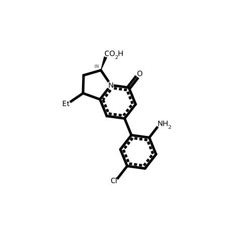 CCC1C[C@@H](C(=O)O)n2c1cc(-c1cc(Cl)ccc1N)cc2=O